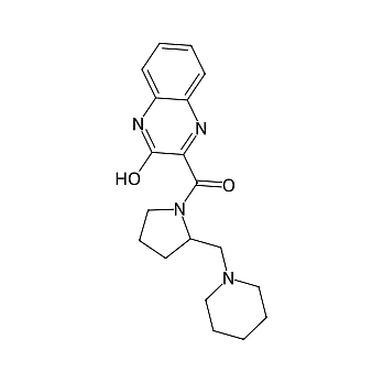 O=C(c1nc2ccccc2nc1O)N1CCCC1CN1CCCCC1